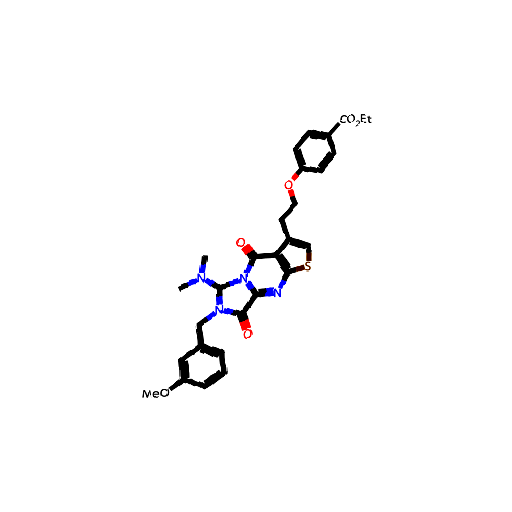 CCOC(=O)c1ccc(OCCc2csc3nc4n(c(=O)c23)C(N(C)C)N(Cc2cccc(OC)c2)C4=O)cc1